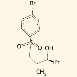 CC(C)[C@H](O)[C@H](C)CS(=O)(=O)c1ccc(Br)cc1